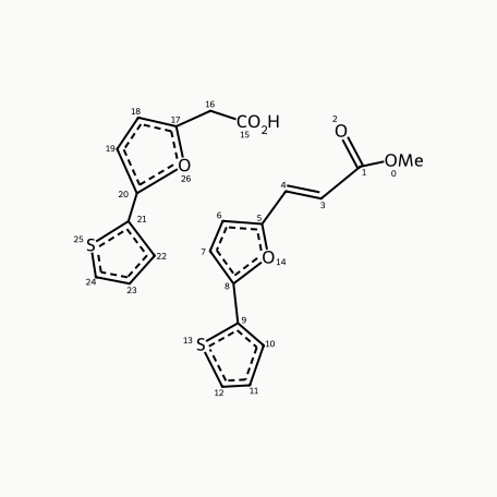 COC(=O)/C=C/c1ccc(-c2cccs2)o1.O=C(O)Cc1ccc(-c2cccs2)o1